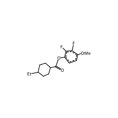 CCC1CCC(C(=O)Oc2ccc(OC)c(F)c2F)CC1